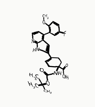 COc1ccc(F)cc1-c1ccnc2[nH]c(C3=CCC(NC(=O)OC(C)(C)C)(C(=O)O)CC3)cc12